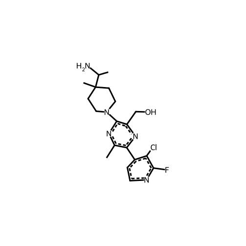 Cc1nc(N2CCC(C)(C(C)N)CC2)c(CO)nc1-c1ccnc(F)c1Cl